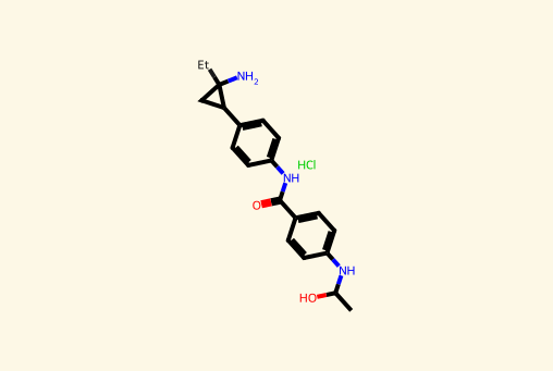 CCC1(N)CC1c1ccc(NC(=O)c2ccc(NC(C)O)cc2)cc1.Cl